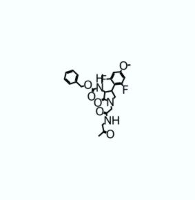 COc1cc(F)c(C2CN(CC(=O)NCC(C)=O)C(=O)C2NC(=O)OCc2ccccc2)c(F)c1